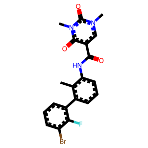 Cc1c(NC(=O)c2cn(C)c(=O)n(C)c2=O)cccc1-c1cccc(Br)c1F